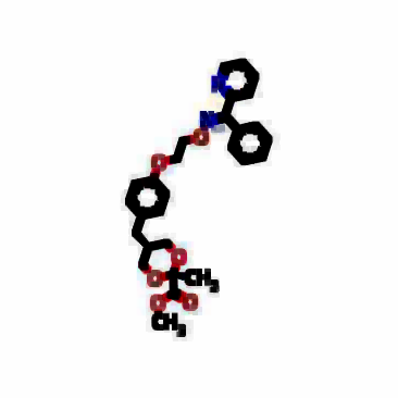 COC(=O)[C@]1(C)OC[C@@H](Cc2ccc(OCCO/N=C(\c3ccccc3)c3ccccn3)cc2)CO1